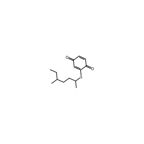 CCC(C)CCC(C)SC1=CC(=O)C=CC1=O